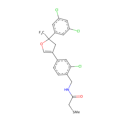 CSCC(=O)NCc1ccc(C2=COC(c3cc(Cl)cc(Cl)c3)(C(F)(F)F)C2)cc1Cl